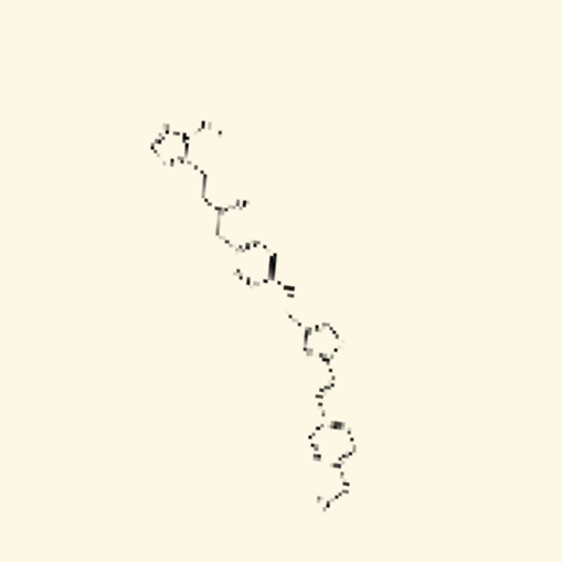 Cn1nccc1CC[S+]([O-])Cc1ccc(OCc2coc(C=Cc3ccc(OC(F)(F)F)cc3)n2)cc1